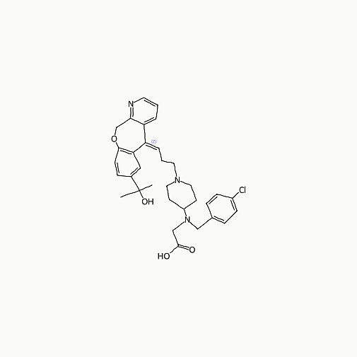 CC(C)(O)c1ccc2c(c1)/C(=C\CCN1CCC(N(CC(=O)O)Cc3ccc(Cl)cc3)CC1)c1cccnc1CO2